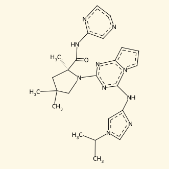 CC(C)n1cnc(Nc2nc(N3CC(C)(C)C[C@@]3(C)C(=O)Nc3cnccn3)nc3cccn23)c1